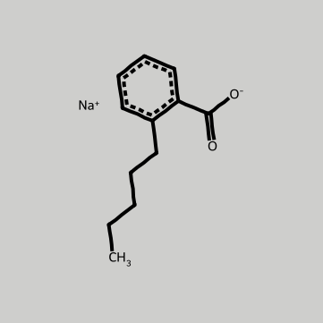 CCCCCc1ccccc1C(=O)[O-].[Na+]